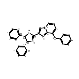 c1ccc(Oc2cccn3cc(C4=N[C@H](c5ccccc5)[C@@H](c5ccccc5)O4)nc23)cc1